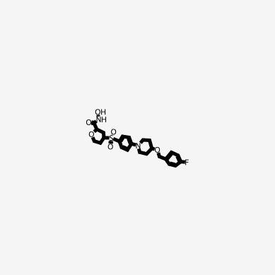 O=C(NO)C1CC(S(=O)(=O)c2ccc(N3CCC(OCc4ccc(F)cc4)CC3)cc2)CCO1